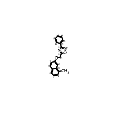 Cc1cccc2ccc(OCc3nc(-c4ccccc4)no3)cc12